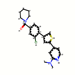 CN(C)c1cc(-c2cc(-c3ccc(C(=O)N4CCCCC4)cc3Cl)cs2)ccn1